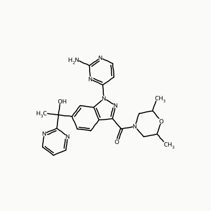 CC1CN(C(=O)c2nn(-c3ccnc(N)n3)c3cc(C(C)(O)c4ncccn4)ccc23)CC(C)O1